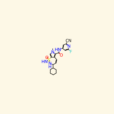 Cn1cc2c(c1C(=O)Nc1cc(F)nc(C#N)c1)C=CC(C1CCCCC1)NS2(=N)=O